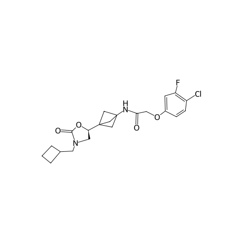 O=C(COc1ccc(Cl)c(F)c1)NC12CC([C@H]3CN(CC4CCC4)C(=O)O3)(C1)C2